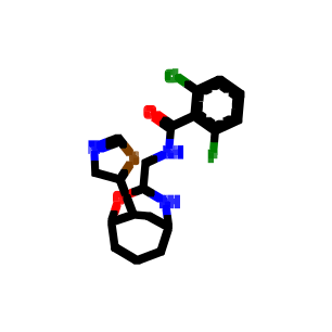 O=C(NCC1NC2CCCC(O1)C(C1CN=CS1)C2)c1c(F)cccc1Cl